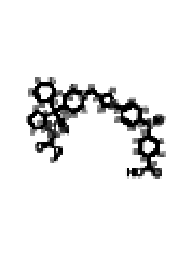 COC(=O)N[C@@H]1CCC[C@H]1C(C#N)(c1ccccc1)C1CCN(CC2CN(c3ccc([S+]([O-])c4ccc(C(=O)O)cc4)cc3)C2)CC1